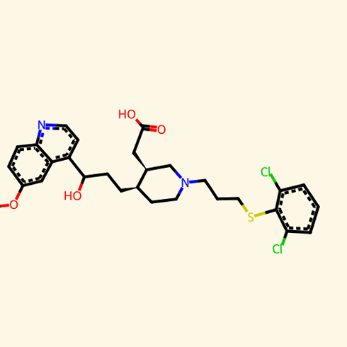 COc1ccc2nccc(C(O)CC[C@@H]3CCN(CCCSc4c(Cl)cccc4Cl)C[C@@H]3CC(=O)O)c2c1